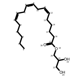 CCCCC/C=C\C/C=C\C/C=C\CCCCC(=O)OCC(O)CO